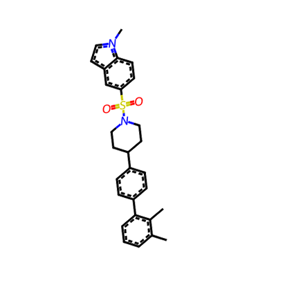 Cc1cccc(-c2ccc(C3CCN(S(=O)(=O)c4ccc5c(ccn5C)c4)CC3)cc2)c1C